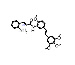 COc1ccc(C=Cc2cc(OC)c(OC)c(OC)c2)cc1NC(=O)/C=C/c1ccccc1N